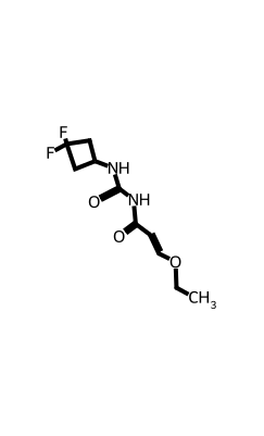 CCO/C=C/C(=O)NC(=O)NC1CC(F)(F)C1